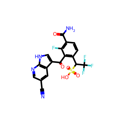 N#Cc1cnc2[nH]cc(C(=O)c3c(C(C(F)(F)F)S(=O)(=O)O)ccc(C(N)=O)c3F)c2c1